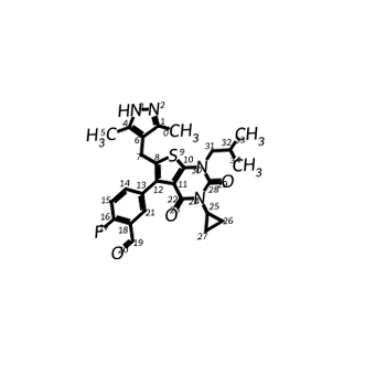 Cc1n[nH]c(C)c1Cc1sc2c(c1-c1ccc(F)c(C=O)c1)c(=O)n(C1CC1)c(=O)n2CC(C)C